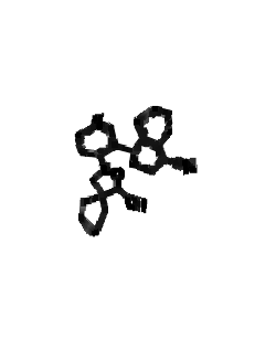 N#Cc1ccc(-c2cnccc2SCC2(C(=O)O)CCCC2)c2ccccc12